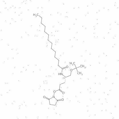 CCCCCCCCCCCCCC(=O)N[C@@H](CCC(=O)ON1C(=O)CCC1=O)COC(C)(C)C